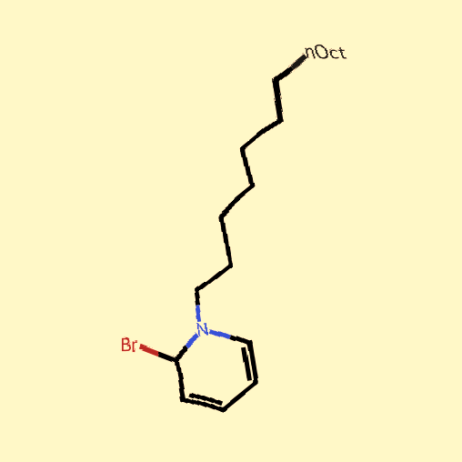 CCCCCCCCCCCCCCCN1C=CC=CC1Br